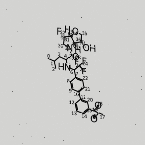 CC(C)CC(NC(c1ccc(-c2cccc(S(C)(=O)=O)c2)cc1)C(F)(F)F)C(=O)N1C[C@H](F)[C@H]2OC[C@H](O)[C@H]21